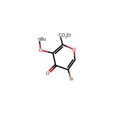 CCCCOc1c(C(=O)OCC)occ(Br)c1=O